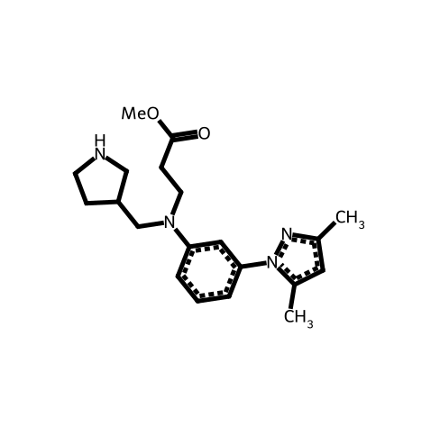 COC(=O)CCN(CC1CCNC1)c1cccc(-n2nc(C)cc2C)c1